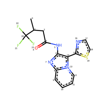 CC(CC(=O)Nc1nc2ccccn2c1-c1nccs1)C(F)(F)F